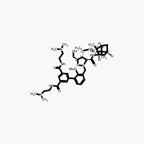 COc1c(CN2O[C@@H](CO)[C@H]([C@H](C)O)[C@H]2C(=O)N[C@H]2C[C@H]3C[C@@H]([C@@H]2C)C3(C)C)cccc1-c1cc(C(=O)NCCN(C)C)cc(C(=O)NCCN(C)C)c1